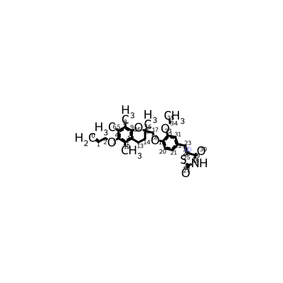 C=CCOc1c(C)c(C)c2c(c1C)CCC(C)(COc1ccc(/C=C3\SC(=O)NC3=O)cc1OCC)O2